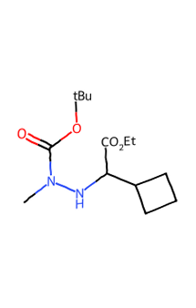 CCOC(=O)C(NN(C)C(=O)OC(C)(C)C)C1CCC1